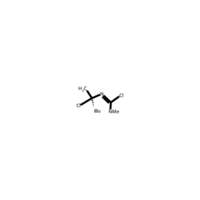 CC[C@@H](C)C(C)(Cl)/N=C(/Cl)NC